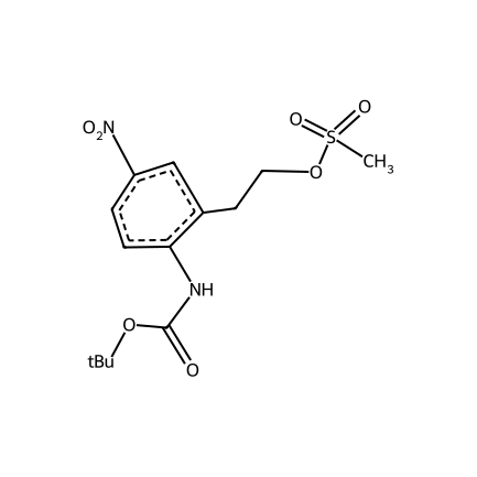 CC(C)(C)OC(=O)Nc1ccc([N+](=O)[O-])cc1CCOS(C)(=O)=O